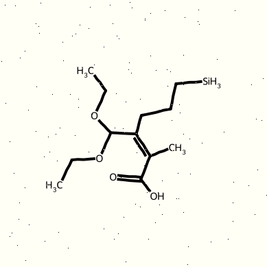 CCOC(OCC)C(CCC[SiH3])=C(C)C(=O)O